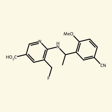 COc1ccc(C#N)cc1C(C)Nc1ncc(C(=O)O)cc1CF